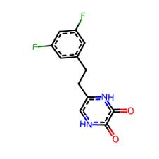 O=c1[nH]cc(CCc2cc(F)cc(F)c2)[nH]c1=O